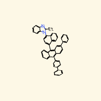 CCc1nc2ccccc2n1-c1ccc(-c2c3ccccc3c(-c3ccc(-c4ccccc4)cc3)c3ccc(-c4ccccc4)cc23)c2ccccc12